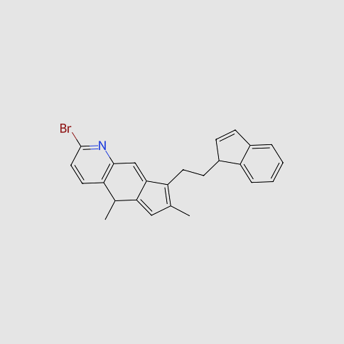 CC1=C(CCC2C=Cc3ccccc32)C2=Cc3nc(Br)ccc3C(C)C2=C1